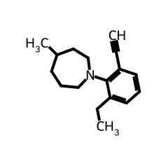 C#Cc1cccc(CC)c1N1CCCC(C)CC1